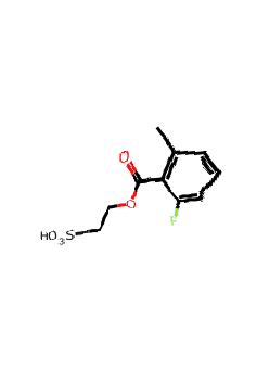 Cc1cccc(F)c1C(=O)OCCS(=O)(=O)O